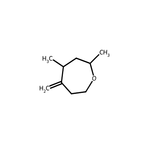 C=C1CCOC(C)CC1C